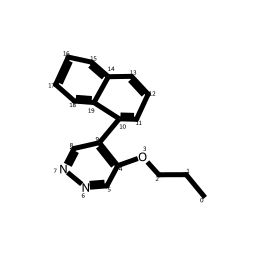 CCCOc1cnn[c]c1-c1cccc2ccccc12